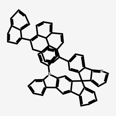 C1=CC2=C(c3cccc4ccccc34)Cc3ccc(-c4ccc5c(c4)C4(c6ccccc6-c6cc7c8ccccc8n(-c8ccccc8)c7cc64)c4cccnc4-5)c4c3C2C(=C1)C=C4